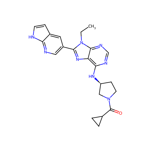 CCn1c(-c2cnc3[nH]ccc3c2)nc2c(N[C@H]3CCN(C(=O)C4CC4)C3)ncnc21